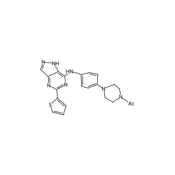 CC(=O)N1CCN(c2ccc(Nc3nc(-c4cccs4)nc4cn[nH]c34)cc2)CC1